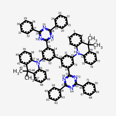 CC1(C)c2ccccc2N(c2cc(-c3cc(-c4nc(-c5ccccc5)nc(-c5ccccc5)n4)cc(N4c5ccccc5C(C)(C)c5ccccc54)c3)cc(-c3nc(-c4ccccc4)nc(-c4ccccc4)n3)c2)c2ccccc21